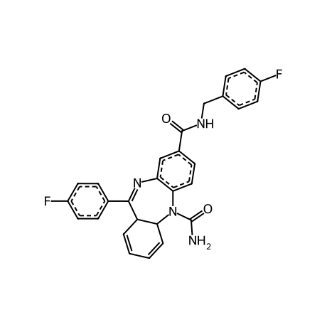 NC(=O)N1c2ccc(C(=O)NCc3ccc(F)cc3)cc2N=C(c2ccc(F)cc2)C2C=CC=CC21